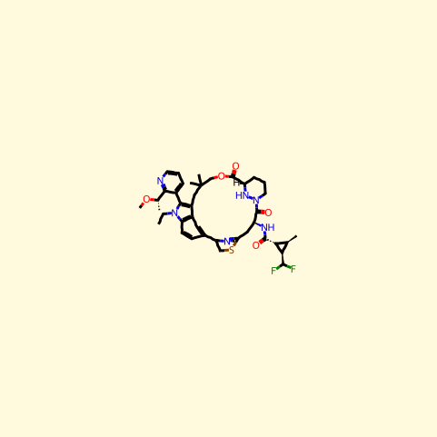 CCn1c(-c2cccnc2[C@H](C)OC)c2c3cc(ccc31)C1CSC(=N1)C[C@H](NC(=O)[C@@H]1[C@@H](C)[C@H]1C(F)F)C(=O)N1CCC[C@H](N1)C(=O)OCC(C)(C)C2